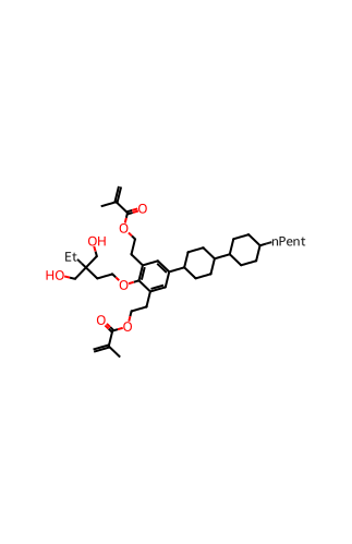 C=C(C)C(=O)OCCc1cc(C2CCC(C3CCC(CCCCC)CC3)CC2)cc(CCOC(=O)C(=C)C)c1OCCC(CC)(CO)CO